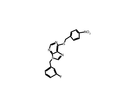 O=[N+]([O-])c1ccc(CSc2ncnc3c2ncn3Cc2cccc(F)c2)cc1